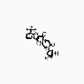 O=C(c1nc2c(C(F)(F)F)cccn2c1Cl)N1CCN([C@H]2C[C@H]3C[C@H]3C2)C(=O)C1